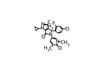 Cc1nn(C2CC2)c2c1C(c1ccc(Cl)cc1F)N(c1cc(C)c(=O)n(C)c1)C2=O